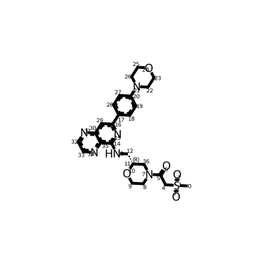 CS(=O)(=O)CC(=O)N1CCO[C@H](CNc2nc(-c3ccc(N4CCOCC4)cc3)cc3nccnc23)C1